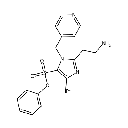 CC(C)c1nc(CCN)n(Cc2ccncc2)c1S(=O)(=O)Oc1ccccc1